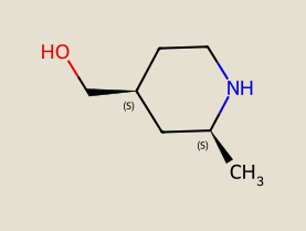 C[C@H]1C[C@@H](CO)CCN1